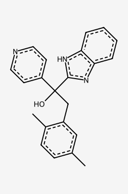 Cc1ccc(C)c(CC(O)(c2ccncc2)c2nc3ccccc3[nH]2)c1